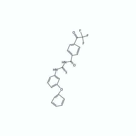 O=C(NC(=S)Nc1cccc(Oc2ccccc2)c1)c1ccc(C(=O)C(F)(F)F)cc1